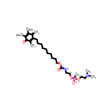 C=C1C(CCCCCCCCCCOC(=O)NCCOP(=C)(O)OCCN(C)C)=C(C)C(=O)C(OC)=C1OC